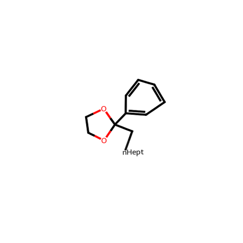 CCCCCCCCC1(c2ccccc2)OCCO1